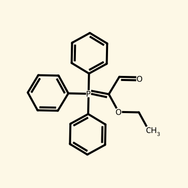 CCOC(C=O)=P(c1ccccc1)(c1ccccc1)c1ccccc1